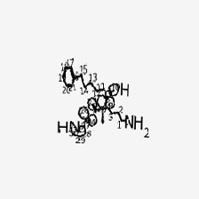 NCCCCC(I)(OP(=O)(O)CCCCCc1ccccc1)C(=O)OC(=O)[C@@H]1CCCN1